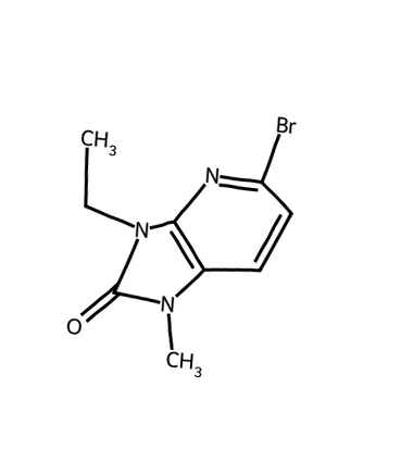 CCn1c(=O)n(C)c2ccc(Br)nc21